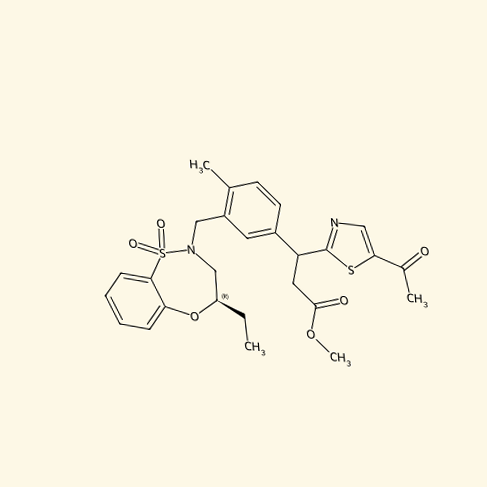 CC[C@@H]1CN(Cc2cc(C(CC(=O)OC)c3ncc(C(C)=O)s3)ccc2C)S(=O)(=O)c2ccccc2O1